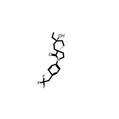 CC[C@]1(O)CC[C@@]2(CCN(c3ccc(CC(F)(F)F)cc3)C2=O)CC1